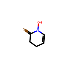 ON1C=CCCC1=S